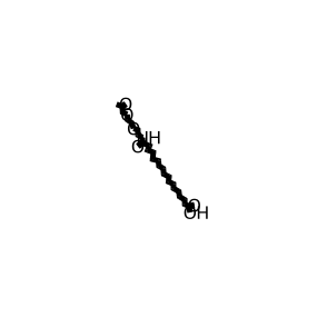 CC(=O)COCCOCCNC(=O)CCCCCCCCCCCCCCCCC(=O)O